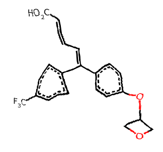 O=C(O)C=CC=C(c1ccc(OC2COC2)cc1)c1ccc(C(F)(F)F)cc1